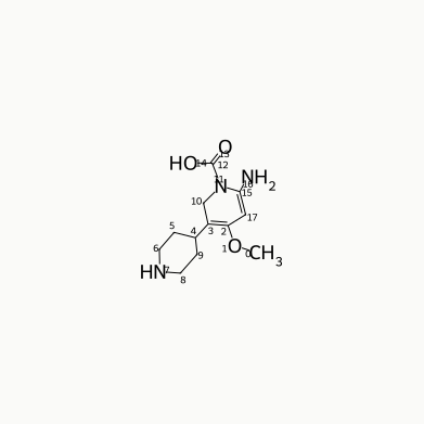 COC1=C(C2CCNCC2)CN(C(=O)O)C(N)=C1